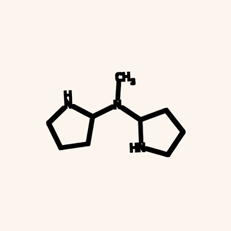 CN(C1CCCN1)C1CCCN1